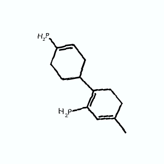 CC1=CC(P)=C(C2CC=C(P)CC2)CC1